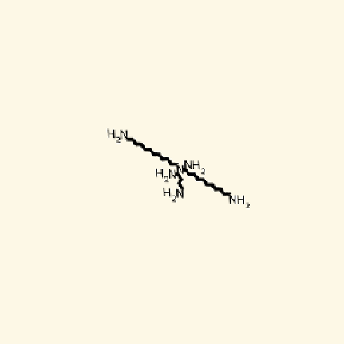 NCCCCCCCCCCCCN(C(N)CCCN)C(N)CCCCCCCCCCN